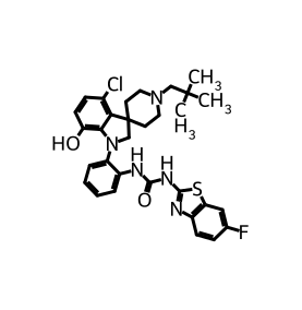 CC(C)(C)CN1CCC2(CC1)CN(c1ccccc1NC(=O)Nc1nc3ccc(F)cc3s1)c1c(O)ccc(Cl)c12